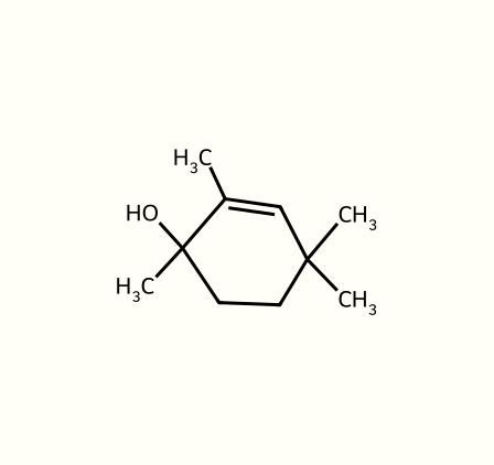 CC1=CC(C)(C)CCC1(C)O